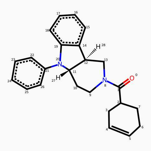 O=C(C1CC=CCC1)N1CC[C@H]2[C@H](C1)c1ccccc1N2c1ccccc1